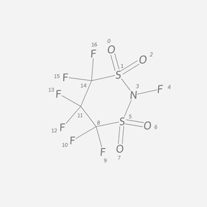 O=S1(=O)N(F)S(=O)(=O)C(F)(F)C(F)(F)C1(F)F